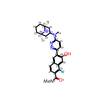 CNC(=O)c1ccc2cc(-c3ccc(N(C)C4C[C@]5(C)CCC[C@](C)(C4)N5)nn3)c(O)cc2c1F